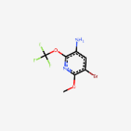 COc1nc(OC(F)(F)F)c(N)cc1Br